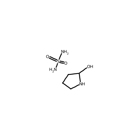 NS(N)(=O)=O.OC1CCCN1